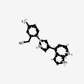 N#CCc1cc(C(F)(F)F)ccc1-n1cc(-c2ccnc3[nH]ccc23)cn1